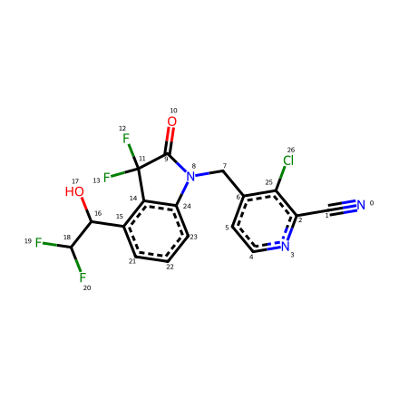 N#Cc1nccc(CN2C(=O)C(F)(F)c3c(C(O)C(F)F)cccc32)c1Cl